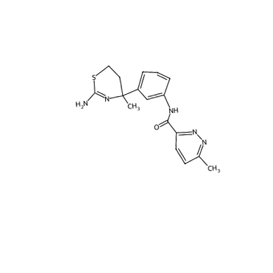 Cc1ccc(C(=O)Nc2cccc(C3(C)CCSC(N)=N3)c2)nn1